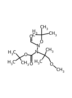 COCC(C)(C)N(C(=O)OC(C)(C)C)N(C=O)OC(C)(C)C